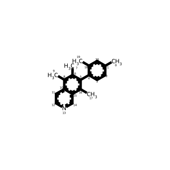 Cc1ccc(-c2c(C)c(C)c3ccncc3c2C)c(C)c1